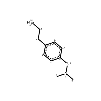 CN(C)Sc1ccc(CCN)cc1